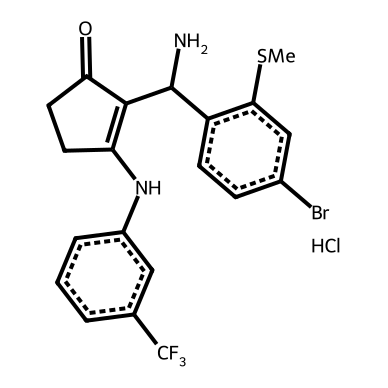 CSc1cc(Br)ccc1C(N)C1=C(Nc2cccc(C(F)(F)F)c2)CCC1=O.Cl